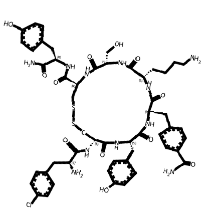 NCCCC[C@@H]1NC(=O)[C@@H](Cc2ccc(C(N)=O)cc2)NC(=O)[C@H](Cc2ccc(O)cc2)NC(=O)[C@H](NC(=O)[C@@H](N)Cc2ccc(Cl)cc2)CSSC[C@@H](C(=O)N[C@H](Cc2ccc(O)cc2)C(N)=O)NC(=O)[C@H](CO)NC1=O